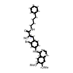 COc1cc2ncnc(Nc3ccc(/C=C(\C#N)C(=O)NCCCCc4ccccc4)c(Br)c3)c2cc1OC